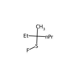 CCCC(C)(CC)SF